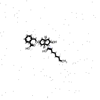 CCCCCC/C=C(\O)[C@@H]1[C@@H]2C[C@@H](OCc3ccccc3C(=O)O)C[C@H]2C[C@H]1O